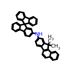 CC1(C)c2cc(Nc3ccc4c(c3)C3(c5ccccc5-c5ccccc53)c3ccccc3-4)ccc2-c2ccc3ccccc3c21